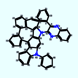 c1ccc(-c2nc3ccccc3nc2-n2c3cc4c(c5c3c3c6c(cccc6ccc32)-c2ccccc2-5)c2ccccc2n4-c2ccccc2)cc1